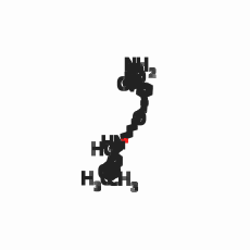 CC1(C)OCc2cc([C@H](O)CNCCCCCCOCCC#Cc3cccc(N4CC(=O)N(CC(N)=O)C4=O)c3)ccc2O1